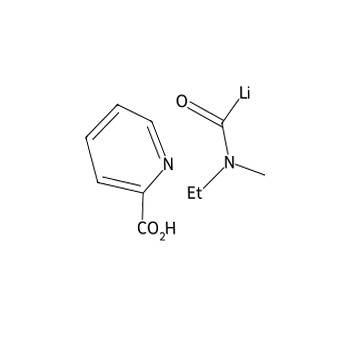 O=C(O)c1ccccn1.[Li][C](=O)N(C)CC